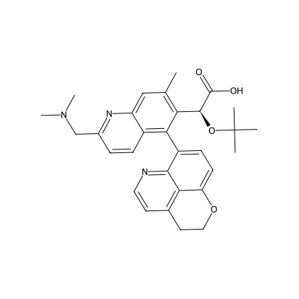 Cc1cc2nc(CN(C)C)ccc2c(-c2ccc3c4c(ccnc24)CCO3)c1[C@H](OC(C)(C)C)C(=O)O